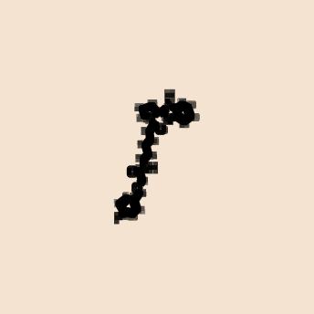 O=C(COCc1ccc(F)cc1)NCCCCCC(=O)N1CCC[C@H]1c1nc2ccccc2[nH]1